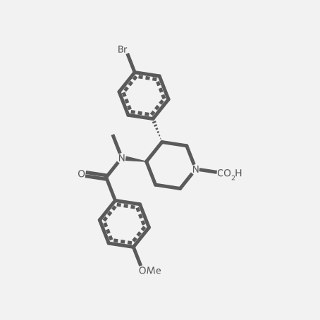 COc1ccc(C(=O)N(C)[C@@H]2CCN(C(=O)O)C[C@H]2c2ccc(Br)cc2)cc1